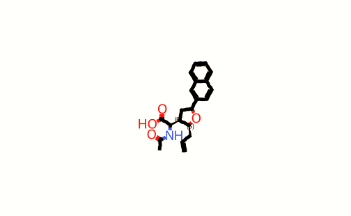 C=CC[C@@H]1OC(c2ccc3ccccc3c2)C[C@@H]1C(NC(C)=O)C(=O)O